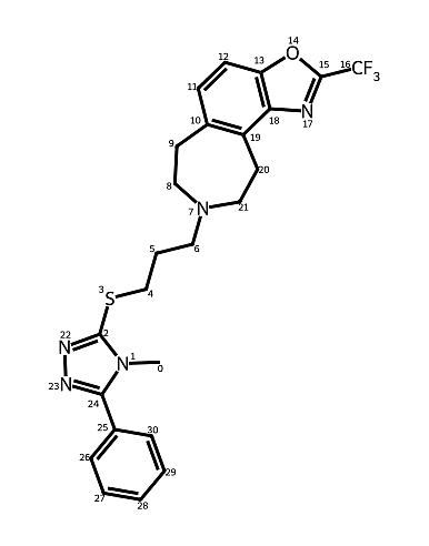 Cn1c(SCCCN2CCc3ccc4oc(C(F)(F)F)nc4c3CC2)nnc1-c1ccccc1